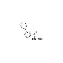 CC(C)(C)NC(=O)c1cccc(N2CCCCC2)c1